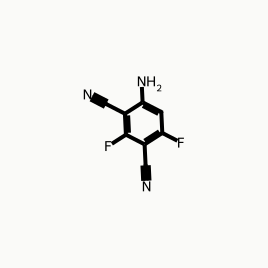 N#Cc1c(N)cc(F)c(C#N)c1F